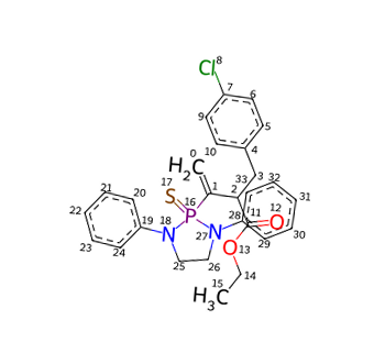 C=C(C(Cc1ccc(Cl)cc1)C(=O)OCC)P1(=S)N(c2ccccc2)CCN1c1ccccc1